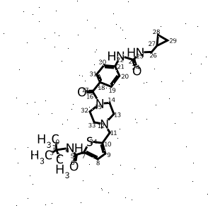 CC(C)(C)NC(=O)c1ccc(CN2CCN(C(=O)c3ccc(NC(=O)NCC4CC4)cc3)CC2)s1